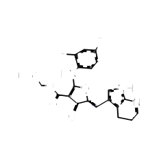 CCOC(=O)C1=C(Nc2ccc(F)cc2F)O/C(=C\c2c[nH]c3c2CCC=N3)C1=O